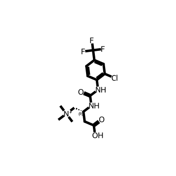 C[N+](C)(C)C[C@@H](CC(=O)O)NC(=O)Nc1ccc(C(F)(F)F)cc1Cl